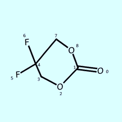 O=C1OCC(F)(F)CO1